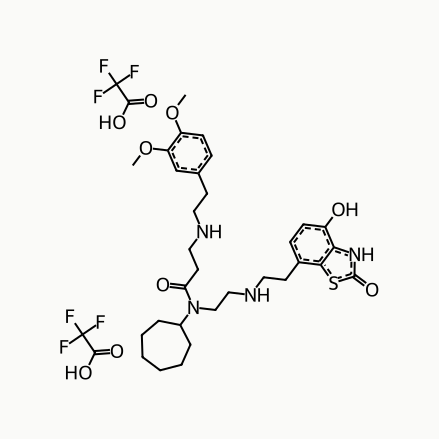 COc1ccc(CCNCCC(=O)N(CCNCCc2ccc(O)c3[nH]c(=O)sc23)C2CCCCCC2)cc1OC.O=C(O)C(F)(F)F.O=C(O)C(F)(F)F